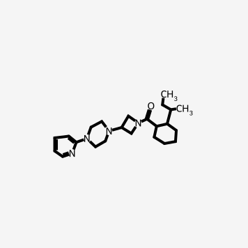 CCC(C)C1CCCCC1C(=O)N1CC(N2CCN(c3ccccn3)CC2)C1